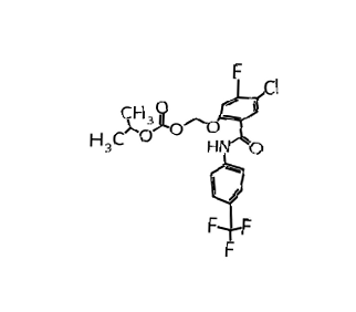 CC(C)OC(=O)OCOc1cc(F)c(Cl)cc1C(=O)Nc1ccc(C(F)(F)F)cc1